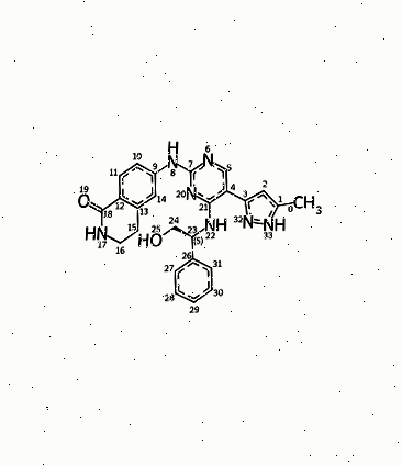 Cc1cc(-c2cnc(Nc3ccc4c(c3)CCNC4=O)nc2N[C@H](CO)c2ccccc2)n[nH]1